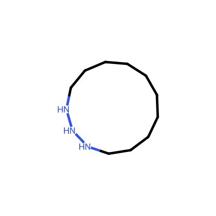 C1CCCCCNNNCCCC1